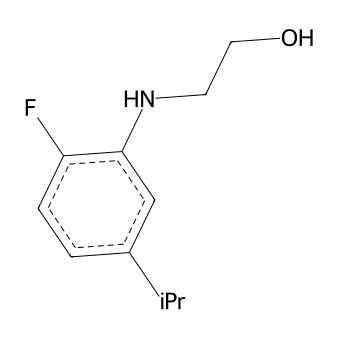 CC(C)c1ccc(F)c(NCCO)c1